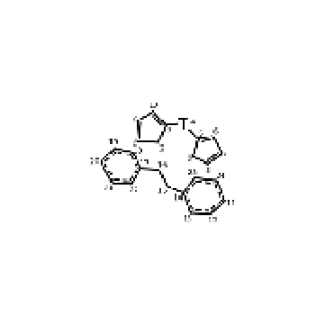 C1=CC[C]([Ti][C]2=CC=CC2)=C1.c1ccc(CCc2ccccc2)cc1